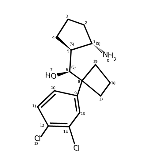 N[C@H]1CCC[C@@H]1[C@H](O)C1(c2ccc(Cl)c(Cl)c2)CCC1